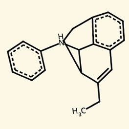 CCC1=Cc2cccc3c2C(Nc2ccccc2)C1CC3